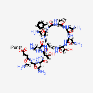 CCCC(C)OC(=O)CCC(=O)N[C@@H](CCN)C(=O)N[C@@H](CCN)C(=O)N[C@H](C(=O)N[C@@H](CCN)C(=O)N[C@H]1CCNC(=O)[C@H](C(C)O)NC(=O)[C@H](CCN)NC(=O)[C@H](CCN)NC(=O)[C@H](CC(C)C)NC(=O)[C@@H](Cc2ccccc2)NC(=O)[C@H](CCN)NC1)C(C)O